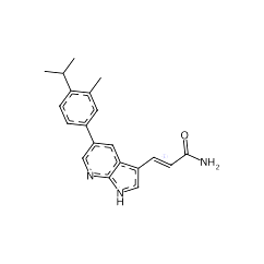 Cc1cc(-c2cnc3[nH]cc(/C=C/C(N)=O)c3c2)ccc1C(C)C